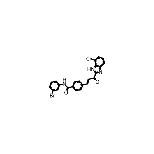 O=C(Nc1cccc(Br)c1)c1ccc(C=CC(=O)c2nc3cccc(Cl)c3[nH]2)cc1